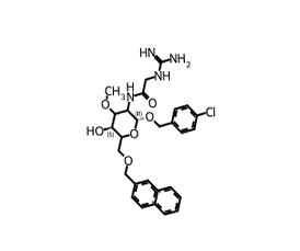 COC1C(NC(=O)CNC(=N)N)[C@H](OCc2ccc(Cl)cc2)OC(COCc2ccc3ccccc3c2)[C@H]1O